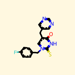 O=c1[nH]c(=S)n(Cc2ccc(F)cc2)cc1Cc1cncnc1